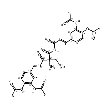 CC(=O)Oc1ccc(C=CC(=O)OC(=O)C(N)(CN)C(=O)C=Cc2ccc(OC(C)=O)c(OC(C)=O)c2)cc1OC(C)=O